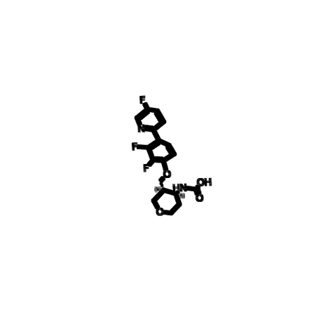 O=C(O)N[C@H]1CCOC[C@@H]1COc1ccc(-c2ccc(F)cn2)c(F)c1F